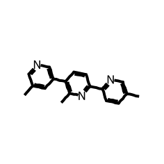 Cc1ccc(-c2ccc(-c3cncc(C)c3)c(C)n2)nc1